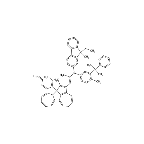 C=C/C=C\C(=C/C)C1(C2C=CC=CC=C2)C(C)=C(/C=C(\C)N(c2ccc(C)c(C(C)(C)c3ccccc3)c2)c2ccc3c(c2)C(C)(CC)c2ccccc2-3)C2=C1C=CCC=C2